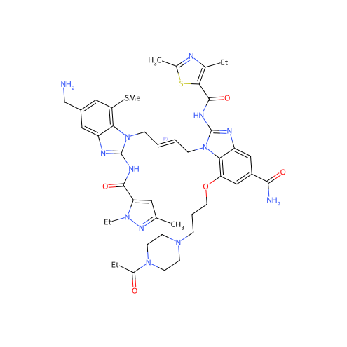 CCC(=O)N1CCN(CCCOc2cc(C(N)=O)cc3nc(NC(=O)c4sc(C)nc4CC)n(C/C=C/Cn4c(NC(=O)c5cc(C)nn5CC)nc5cc(CN)cc(SC)c54)c23)CC1